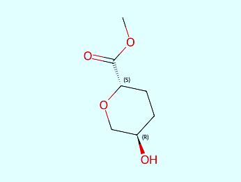 COC(=O)[C@@H]1CC[C@@H](O)CO1